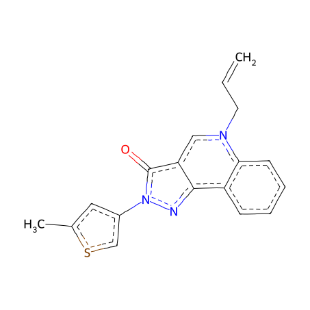 C=CCn1cc2c(=O)n(-c3csc(C)c3)nc-2c2ccccc21